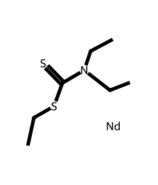 CCSC(=S)N(CC)CC.[Nd]